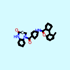 Cc1ccccc1-c1ccccc1C(=O)Nc1ccc(C(=O)N2CCC(=O)Nc3ccccc32)cc1